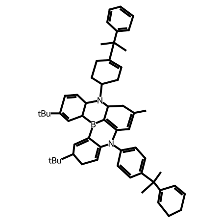 CC1=CC2=C3B(C4=CC(C(C)(C)C)CC=C4N2c2ccc(C(C)(C)C4=CCCC=C4)cc2)C2C=C(C(C)(C)C)C=CC2N(C2CC=C(C(C)(C)c4ccccc4)CC2)C3C1